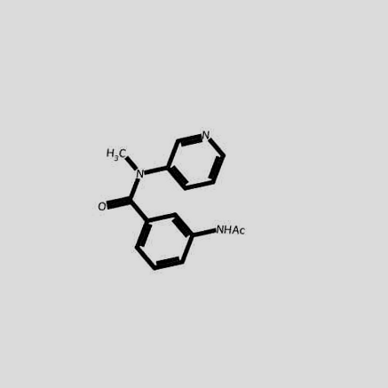 CC(=O)Nc1cccc(C(=O)N(C)c2cccnc2)c1